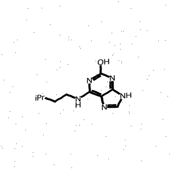 CC(C)CCNc1nc(O)nc2[nH]cnc12